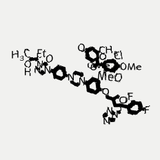 CC[C@@H]([C@H](C)O)n1ncn(-c2ccc(N3CCN(c4ccc(OCC5CO[C@@](Cn6cncn6)(c6ccc(F)cc6F)C5)cc4)CC3)cc2)c1=O.COC1=CC(=O)C[C@@H](C)[C@]12Oc1c(Cl)c(OC)cc(OC)c1C2=O